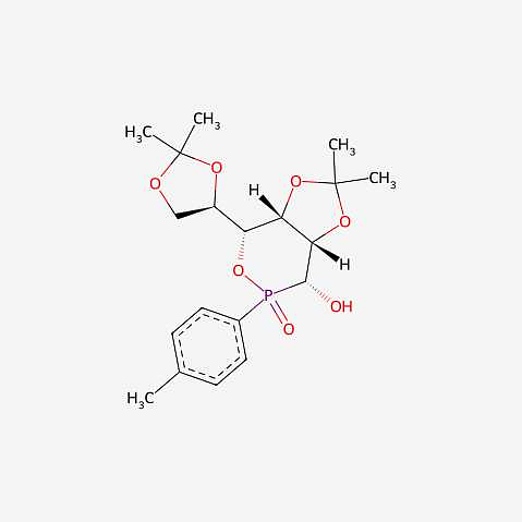 Cc1ccc(P2(=O)O[C@H]([C@H]3COC(C)(C)O3)[C@@H]3OC(C)(C)O[C@@H]3[C@@H]2O)cc1